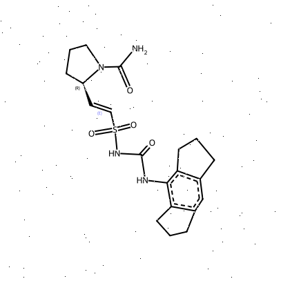 NC(=O)N1CCC[C@@H]1/C=C/S(=O)(=O)NC(=O)Nc1c2c(cc3c1CCC3)CCC2